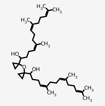 CC(C)=CCCC(C)=CCCC(C)=CCCC(O)C1(OC2(C(O)CCC=C(C)CCC=C(C)CCC=C(C)C)CC2)CC1